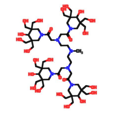 CN(CCN(CC(=O)N1CC(CO)(CO)C(O)C(CO)(CO)C1)CC(=O)N1CC(CO)(CO)C(O)C(CO)(CO)C1)CCN(CC(=O)N1CC(CO)(CO)C(O)C(CO)(CO)C1)CC(=O)N1CC(CO)(CO)C(O)C(CO)(CO)C1